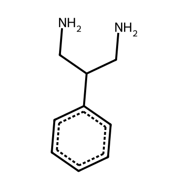 NCC(CN)c1ccccc1